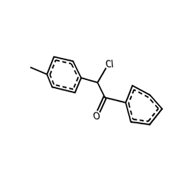 Cc1ccc(C(Cl)C(=O)c2ccccc2)cc1